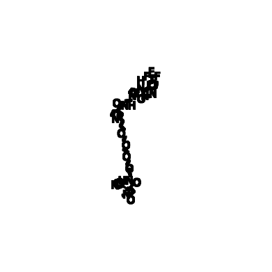 CN1C(=O)C[C@H](C(=O)NCCOCCOCCOCCOCCCc2cc(C(=O)NCCN3CC[C@H](Nc4ncnc5ccc(C(F)(F)F)cc45)C3=O)ccn2)[C@H]1c1cccnc1